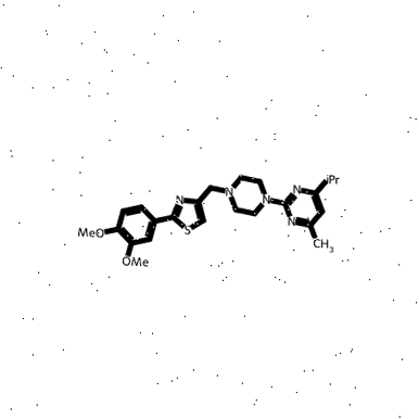 COc1ccc(-c2nc(CN3CCN(c4nc(C)cc(C(C)C)n4)CC3)cs2)cc1OC